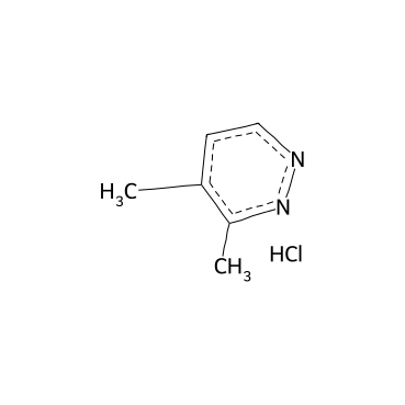 Cc1ccnnc1C.Cl